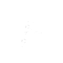 COc1cc2c(cc1O)/C(=N/OCc1ccc(SC(F)(F)F)cc1)C[C@@H]1[C@@H]2CC[C@]2(C)[C@@H](O)CC[C@@H]12